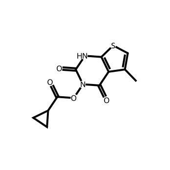 Cc1csc2[nH]c(=O)n(OC(=O)C3CC3)c(=O)c12